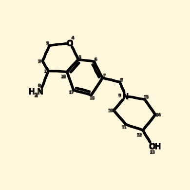 NC1CCOc2cc(CN3CCC(O)CC3)ccc21